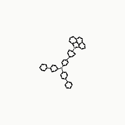 c1ccc(-c2ccc(N(c3ccc(-c4ccccc4)cc3)c3ccc(-c4ccc(-n5c6cccc7ccc8cccc5c8c76)cc4)cc3)cc2)cc1